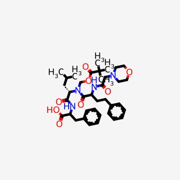 CC(C)C[C@@H](C(=O)NC(Cc1ccccc1)C(=O)O)N(COC(=O)C(C)(C)C)C(=O)C(CCc1ccccc1)NC(=O)CN1CCOCC1